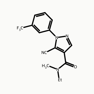 CCN(C)C(=O)c1cnn(-c2cccc(C(F)(F)F)c2)c1C#N